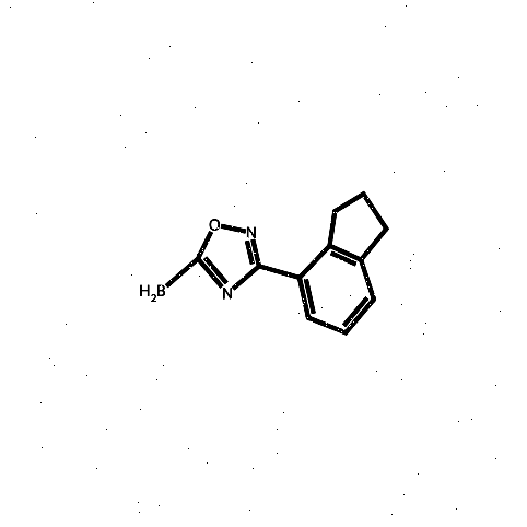 Bc1nc(-c2cccc3c2CCC3)no1